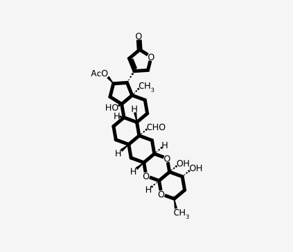 CC(=O)O[C@@H]1C[C@]2(O)[C@@H]3CC[C@H]4C[C@H]5O[C@@H]6O[C@H](C)C[C@@H](O)[C@]6(O)O[C@@H]5C[C@]4(C=O)[C@H]3CC[C@]2(C)[C@H]1C1=CC(=O)OC1